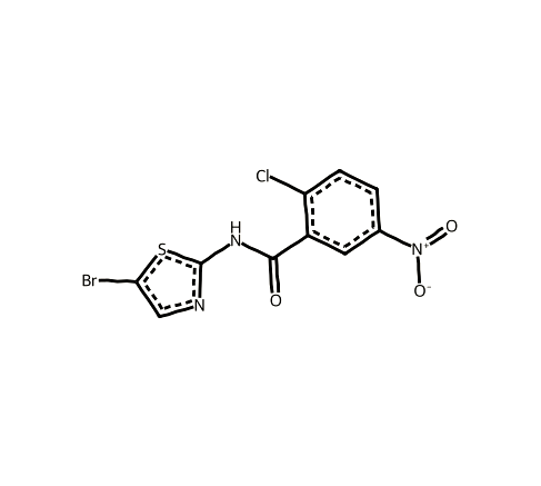 O=C(Nc1ncc(Br)s1)c1cc([N+](=O)[O-])ccc1Cl